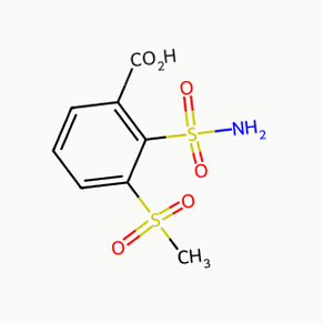 CS(=O)(=O)c1cccc(C(=O)O)c1S(N)(=O)=O